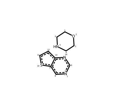 C1COCCN1.c1ncc2sccc2n1